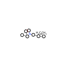 CC1(C)c2ccccc2-c2ccc(-c3ccc(N(c4ccccc4)c4cccc(-c5ccccc5)c4-c4ccccc4)cc3)cc21